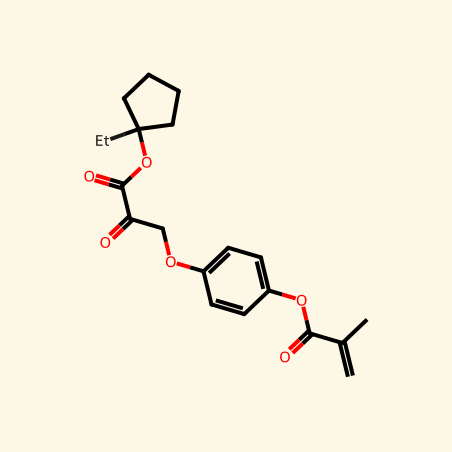 C=C(C)C(=O)Oc1ccc(OCC(=O)C(=O)OC2(CC)CCCC2)cc1